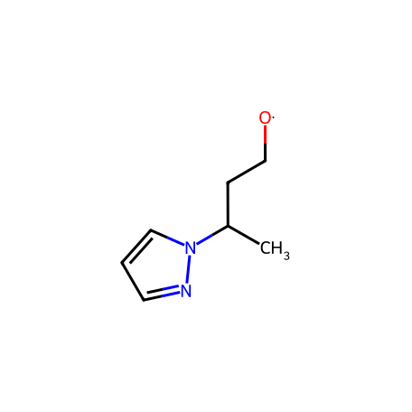 CC(CC[O])n1cccn1